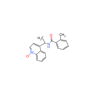 Cc1ccccc1C(=O)NC(C)c1cc[n+]([O-])c2ccccc12